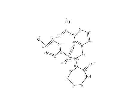 O=C(O)c1cccc(CN(C2CCCCNC2=O)S(=O)(=O)c2ccc(Cl)cc2)c1